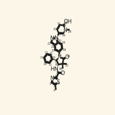 Cc1cnc(C(=O)N[C@@H]2[C@@H](c3ccccc3)N(c3ccc4c(cnn4C4=CN(C)C(O)C=C4)c3)C(=O)C2(C)C)s1